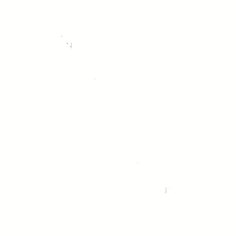 CCCC/C=C/CCC/C=C/C#N